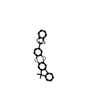 CC1(C)c2ccccc2-c2cc3c(cc21)Oc1ccc(-c2nc4ccccc4s2)cc1O3